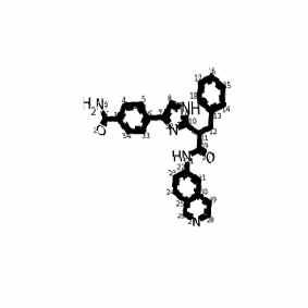 NC(=O)c1ccc(-c2c[nH]c(C(Cc3ccccc3)C(=O)Nc3ccc4cnccc4c3)n2)cc1